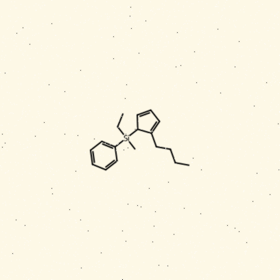 CCCCC1=CC=C[C]1[Si](C)(CC)c1ccccc1